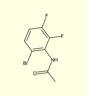 CC(=O)Nc1c(Br)ccc(F)c1F